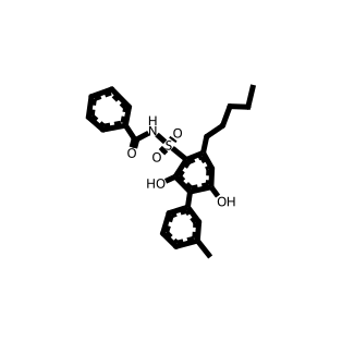 CCCCCc1cc(O)c(-c2cccc(C)c2)c(O)c1S(=O)(=O)NC(=O)c1ccccc1